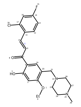 CCOc1cc(O)c(C(=O)/C=C/c2ccc(F)cc2Cl)cc1CN1CCN(C)CC1